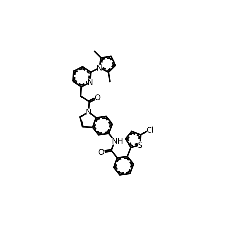 Cc1ccc(C)n1-c1cccc(CC(=O)N2CCc3cc(NC(=O)c4ccccc4-c4ccc(Cl)s4)ccc32)n1